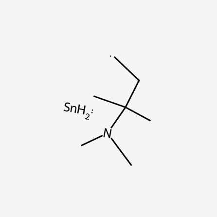 [CH2]CC(C)(C)N(C)C.[SnH2]